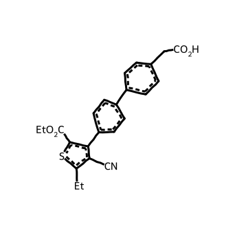 CCOC(=O)c1sc(CC)c(C#N)c1-c1ccc(-c2ccc(CC(=O)O)cc2)cc1